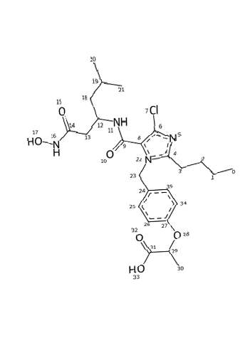 CCCCc1nc(Cl)c(C(=O)NC(CC(=O)NO)CC(C)C)n1Cc1ccc(OC(C)C(=O)O)cc1